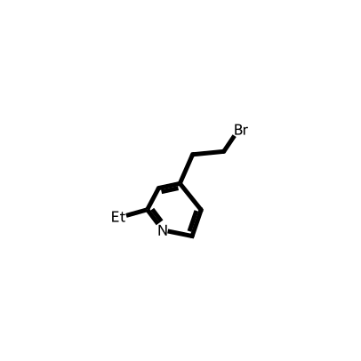 CCc1cc(CCBr)ccn1